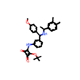 COc1ccc(C(NC(C)c2ccc(C)c(C)c2)c2cccc(Nc3c(OC(C)(C)C)c(=O)c3=O)c2)cc1